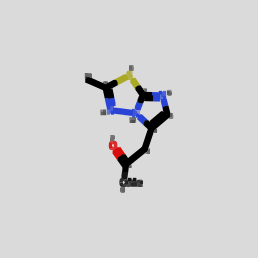 COC(=O)Cc1cnc2sc(C)nn12